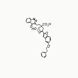 O=C(CC(CCn1nnc2ccccc2c1=O)(C(=O)O)C(=O)O)c1cc2cc(OCCc3ccccc3)ccc2o1